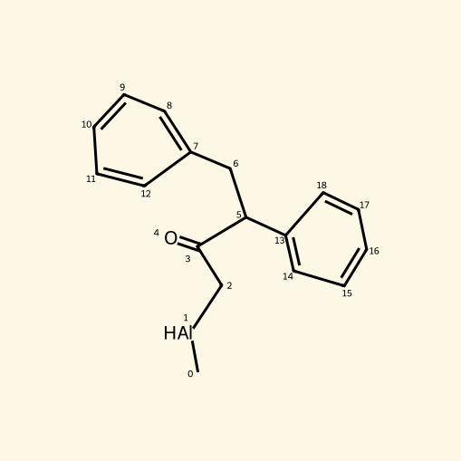 [CH3][AlH][CH2]C(=O)C(Cc1ccccc1)c1ccccc1